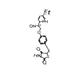 CCC1=CNC([C@@H](COc2ccc(CC3SC(=O)NC3=O)cc2)N=O)C=C1